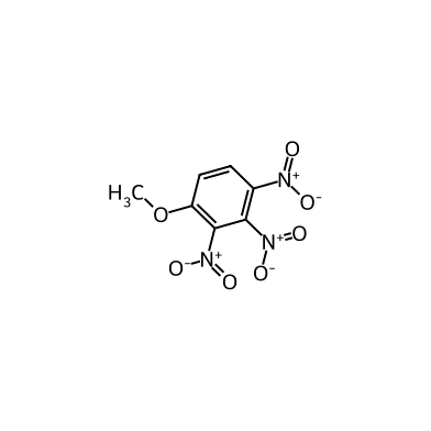 COc1ccc([N+](=O)[O-])c([N+](=O)[O-])c1[N+](=O)[O-]